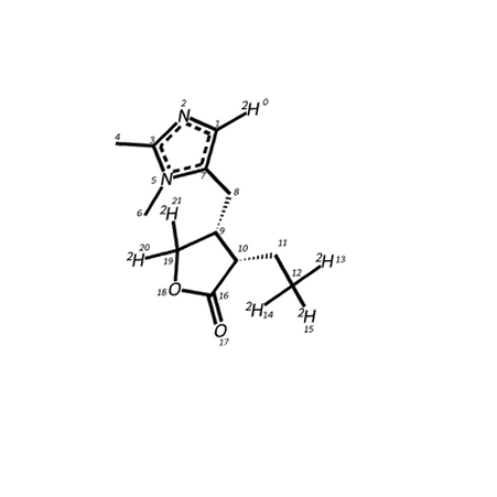 [2H]c1nc(C)n(C)c1C[C@@H]1[C@H](CC([2H])([2H])[2H])C(=O)OC1([2H])[2H]